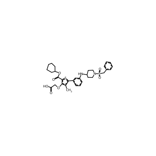 Cc1c(-c2cccc(NC3CCN(S(=O)(=O)Cc4ccccc4)CC3)c2)sc(C(=O)OC2CCCCC2)c1OCC(=O)O